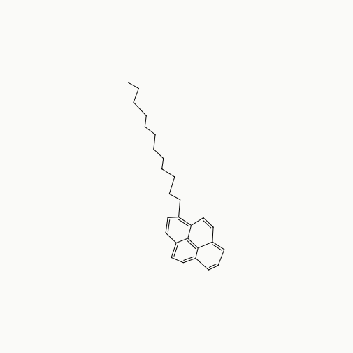 CCCCCCCCCCCCc1ccc2ccc3cccc4ccc1c2c34